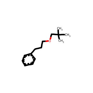 CC(C)(C)COCCCc1ccccc1